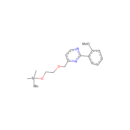 COc1ccccc1-c1nccc(COCCO[Si](C)(C)C(C)(C)C)n1